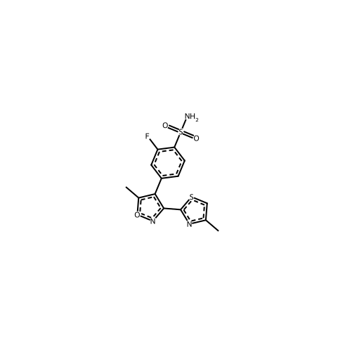 Cc1csc(-c2noc(C)c2-c2ccc(S(N)(=O)=O)c(F)c2)n1